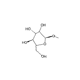 CO[C@H]1OC(CO)[C@@H](O)C(O)C1O